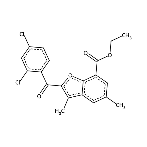 CCOC(=O)c1cc(C)cc2c(C)c(C(=O)c3ccc(Cl)cc3Cl)oc12